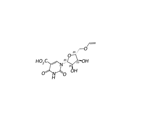 C=COC[C@H]1O[C@@H](n2cc(C(=O)O)c(=O)[nH]c2=O)[C@H](O)[C@@H]1O